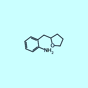 Nc1ccccc1CC1CCCO1